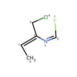 C/C=C(CCl)\N=C/F